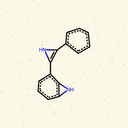 c1ccc(C2=C(c3cccc4c3N4)N2)cc1